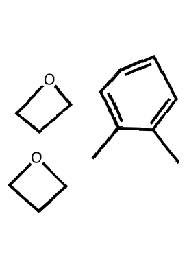 C1COC1.C1COC1.Cc1ccccc1C